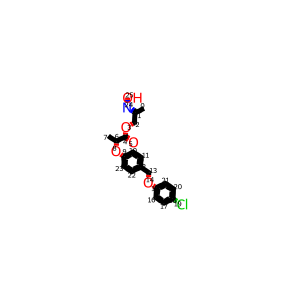 CC(COC(=O)C(C)Oc1ccc(COc2ccc(Cl)cc2)cc1)=NO